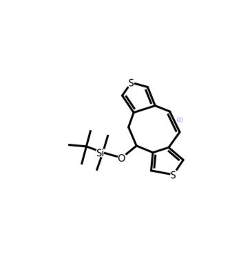 CC(C)(C)[Si](C)(C)OC1Cc2cscc2/C=C\c2cscc21